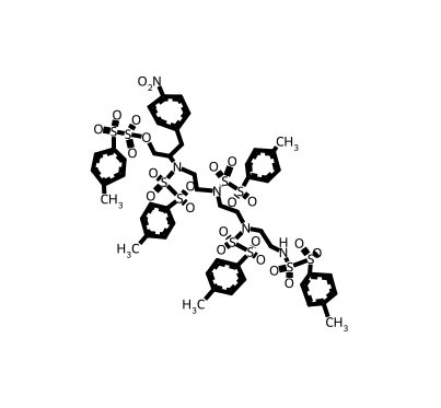 Cc1ccc(S(=O)(=O)S(=O)(=O)NCCN(CCN(CCN(C(COS(=O)(=O)S(=O)(=O)c2ccc(C)cc2)Cc2ccc([N+](=O)[O-])cc2)S(=O)(=O)S(=O)(=O)c2ccc(C)cc2)S(=O)(=O)S(=O)(=O)c2ccc(C)cc2)S(=O)(=O)S(=O)(=O)c2ccc(C)cc2)cc1